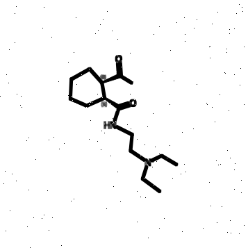 CCN(CC)CCNC(=O)[C@H]1CCCC[C@H]1C(C)=O